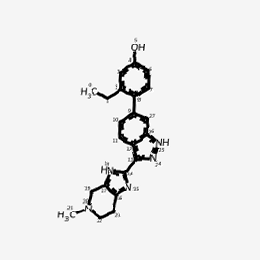 CCc1cc(O)ccc1-c1ccc2c(-c3nc4c([nH]3)CN(C)[CH]C4)n[nH]c2c1